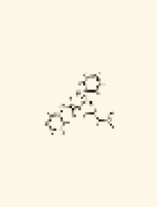 CC(C)CCC[C@H]([Si](C)(C)Cc1ccccc1)[Si](C)(C)c1ccccc1